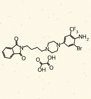 Nc1c(Br)cc(N2CCN(CCCCN3C(=O)c4ccccc4C3=O)CC2)cc1C(F)(F)F.O=C(O)C(=O)O